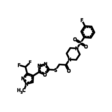 Cn1cc(-c2nnc(SCC(=O)N3CCN(S(=O)(=O)c4cccc(F)c4)CC3)o2)c(C(F)F)n1